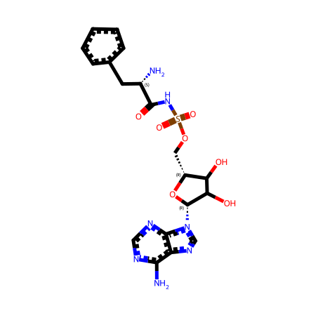 Nc1ncnc2c1ncn2[C@@H]1O[C@H](COS(=O)(=O)NC(=O)[C@@H](N)Cc2ccccc2)C(O)C1O